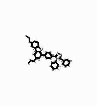 CCCc1ccc2oc3c(-c4ccc(-c5nnc(-c6ccccc6)n5-c5ccccc5)cc4)cc(CCC)cc3c2c1